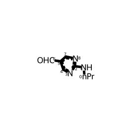 CCCNc1ncc(C=O)cn1